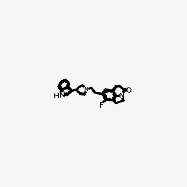 O=C1CCc2cc(CCN3CCC(c4c[nH]c5ccccc45)CC3)c(F)c3c2N1CC3